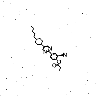 CCCCCC1CCC(c2cnc(-c3ccc(OC(=O)CC)c(C#N)c3)nc2)CC1